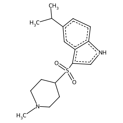 CC(C)c1ccc2[nH]cc(S(=O)(=O)C3CCN(C)CC3)c2c1